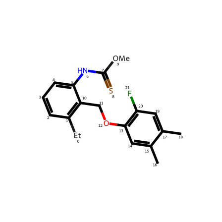 CCc1cccc(NC(=S)OC)c1COc1cc(C)c(C)cc1F